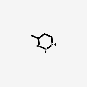 CC1CCNBN1